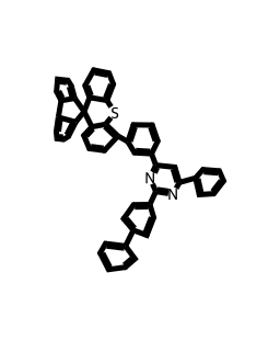 c1ccc(-c2ccc(-c3nc(-c4ccccc4)cc(-c4cccc(-c5cccc6c5Sc5ccccc5C65c6ccccc6-c6ccccc65)c4)n3)cc2)cc1